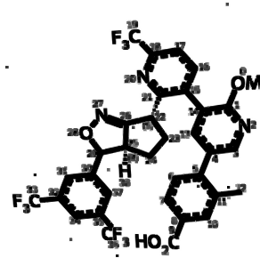 COc1ncc(-c2ccc(C(=O)O)cc2C)cc1-c1ccc(C(F)(F)F)nc1[C@@H]1CC[C@@H]2C1=NOC2c1cc(C(F)(F)F)cc(C(F)(F)F)c1